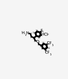 Cl.NCCC(COCc1cc(C(F)(F)F)cc(C(F)(F)F)c1)c1ccc(F)cc1